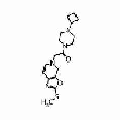 CSc1nc2c(o1)CN(CC(=O)N1CCN(C3CCC3)CC1)C=C2